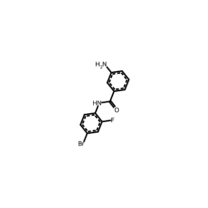 Nc1cccc(C(=O)Nc2ccc(Br)cc2F)c1